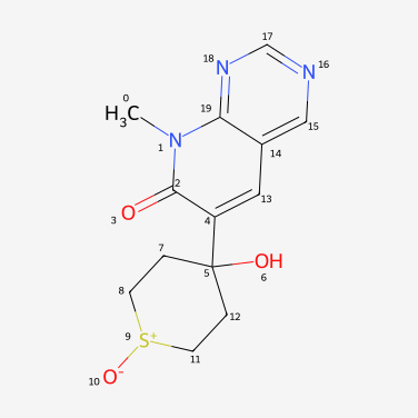 Cn1c(=O)c(C2(O)CC[S+]([O-])CC2)cc2cncnc21